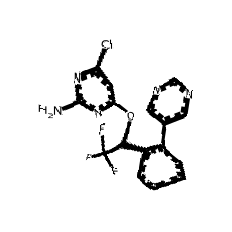 Nc1nc(Cl)cc(OC(c2ccccc2-c2cncnc2)C(F)(F)F)n1